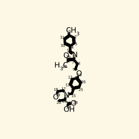 Cc1ccc(-c2nc(CCOc3ccc(CN4CCOC[C@H]4C(=O)O)cc3)c(C)o2)cc1